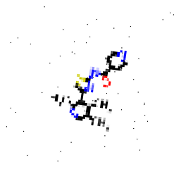 Cc1cnc(C)c(-c2csc(NC(=O)c3ccncc3)n2)c1C